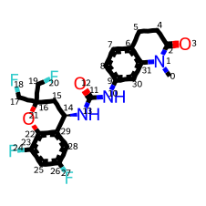 CN1C(=O)CCc2ccc(NC(=O)N[C@@H]3CC(CF)(CF)Oc4c(F)cc(F)cc43)cc21